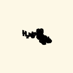 CC(C[CH]C(=O)N1CCC2C1C(=O)CN2S(=O)(=O)C(=O)c1ccccn1)C(N)=O